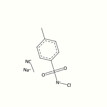 CC#N.Cc1ccc(S(=O)(=O)[N-]Cl)cc1.[Na+]